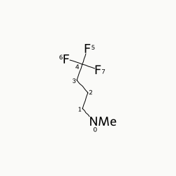 [CH2]NCCCC(F)(F)F